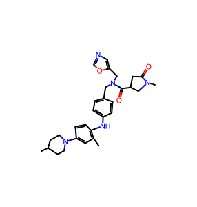 Cc1cc(N2CCC(C)CC2)ccc1Nc1ccc(CN(Cc2cnco2)C(=O)C2CC(=O)N(C)C2)cc1